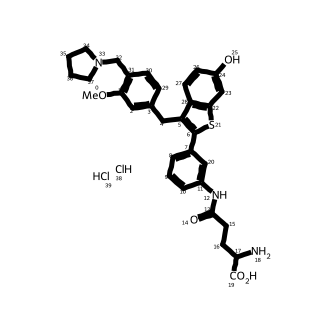 COc1cc(Cc2c(-c3cccc(NC(=O)CCC(N)C(=O)O)c3)sc3cc(O)ccc23)ccc1CN1CCCC1.Cl.Cl